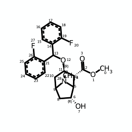 COC(=O)[C@@H]1C2[C@H](O)CC(C[C@H]1OC(c1ccccc1F)c1ccccc1F)N2C